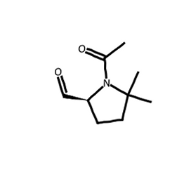 CC(=O)N1[C@H](C=O)CCC1(C)C